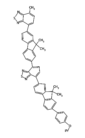 Cc1ccc(-c2ccc3c(c2)C(C)(C)c2cc(-c4ccc(-c5ccc6c(c5)C(C)(C)c5cc(-c7ccc(OC(C)C)cc7)ccc5-6)c5nsnc45)ccc2-3)c2nsnc12